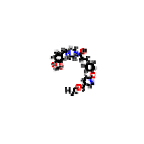 COCc1ccc(Oc2ccc(CCC(=O)N3CCN(Cc4ccc5c(c4)OCO5)CC3)cc2)nc1